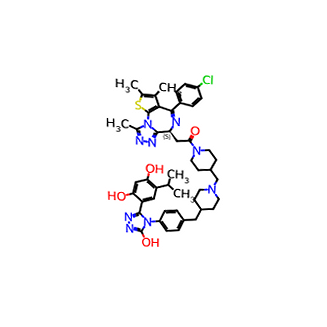 Cc1sc2c(c1C)C(c1ccc(Cl)cc1)=N[C@@H](CC(=O)N1CCC(CN3CCC(Cc4ccc(-n5c(O)nnc5-c5cc(C(C)C)c(O)cc5O)cc4)CC3)CC1)c1nnc(C)n1-2